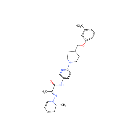 C/C(=N\N1C=CC=CC1C)C(=O)Nc1ccc(N2CCC(COc3cccc(C(=O)O)c3)CC2)nc1